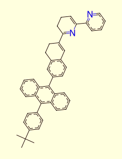 CC(C)(C)c1ccc(-c2c3ccccc3c(-c3ccc4c(c3)CCC(C3=NC(c5ccccn5)=CCC3)=C4)c3ccccc23)cc1